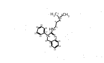 CN(C)CCCNC(=S)N(Cc1ccccc1)c1ccccc1